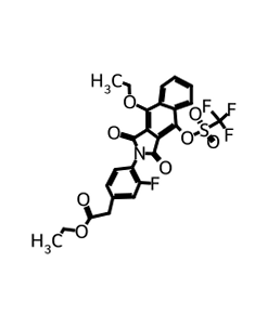 CCOC(=O)Cc1ccc(N2C(=O)c3c(c(OS(=O)(=O)C(F)(F)F)c4ccccc4c3OCC)C2=O)c(F)c1